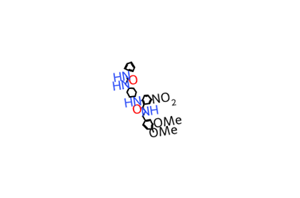 COc1ccc(CNC(=O)c2cc([N+](=O)[O-])ccc2N[C@H]2CC[C@H](NC(=O)Nc3ccccc3)CC2)cc1OC